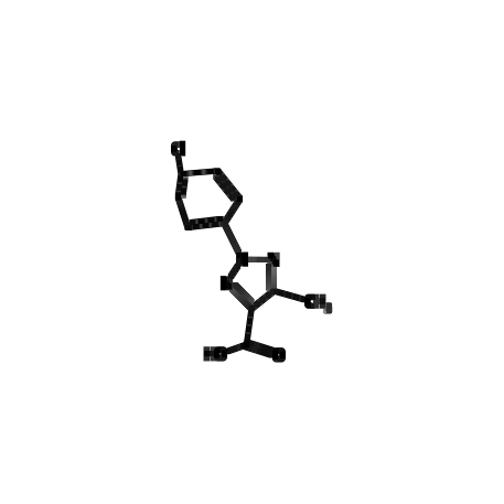 Cc1nn(-c2ccc(Cl)cc2)nc1C(=O)O